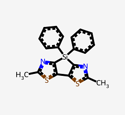 Cc1nc2c(s1)-c1sc(C)nc1[Si]2(c1ccccc1)c1ccccc1